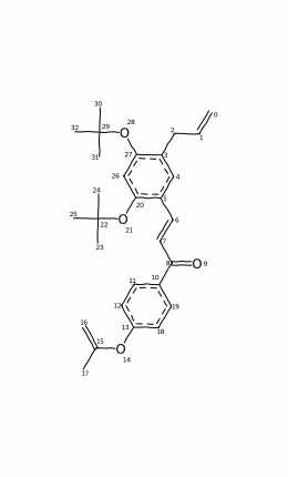 C=CCc1cc(C=CC(=O)c2ccc(OC(=C)C)cc2)c(OC(C)(C)C)cc1OC(C)(C)C